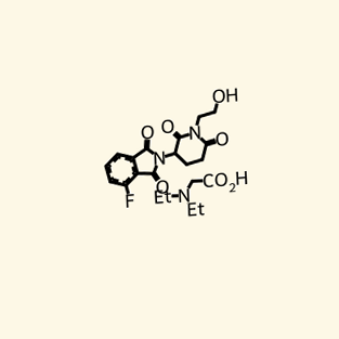 CCN(CC)CC(=O)O.O=C1CCC(N2C(=O)c3cccc(F)c3C2=O)C(=O)N1CCO